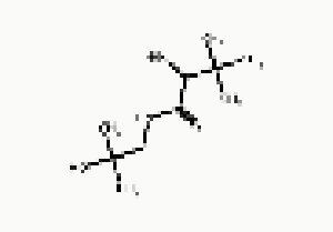 CC(C)(O)CNC(=O)C([NH])C(C)(C)C